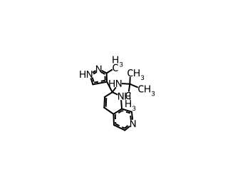 Cc1n[nH]cc1C1(NC(C)(C)C)C=Cc2ccncc2N1